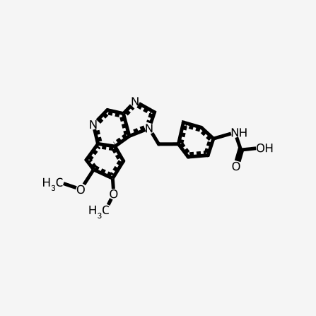 COc1cc2ncc3ncn(Cc4ccc(NC(=O)O)cc4)c3c2cc1OC